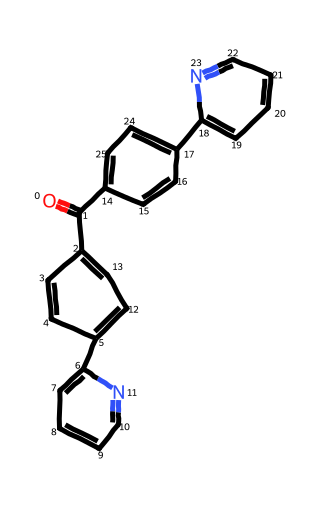 O=C(c1ccc(-c2ccccn2)cc1)c1ccc(-c2ccccn2)cc1